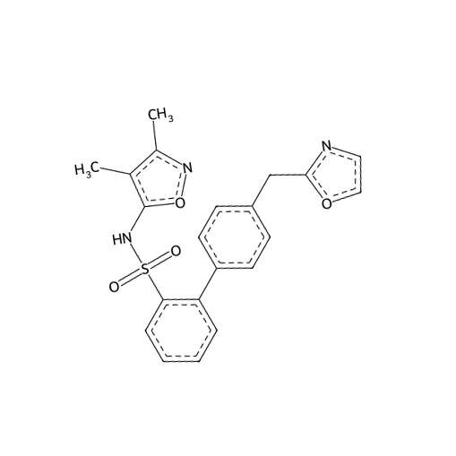 Cc1noc(NS(=O)(=O)c2ccccc2-c2ccc(Cc3ncco3)cc2)c1C